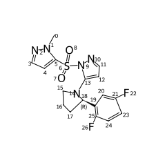 Cn1nccc1S(=O)(=O)n1nccc1N1CCC[C@@H]1c1cc(F)ccc1F